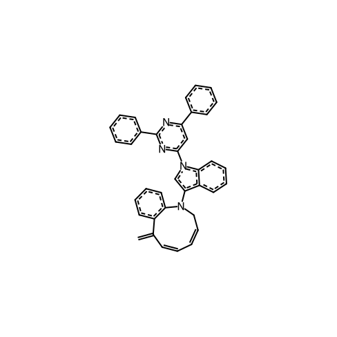 C=C1/C=C\C=C/CN(c2cn(-c3cc(-c4ccccc4)nc(-c4ccccc4)n3)c3ccccc23)c2ccccc21